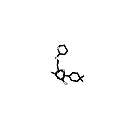 CC1(C)CCC(c2nc(CCOC3CCCCO3)c(F)cc2C#N)CC1